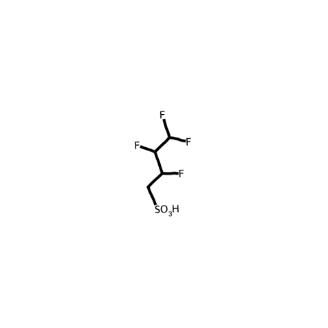 O=S(=O)(O)CC(F)C(F)C(F)F